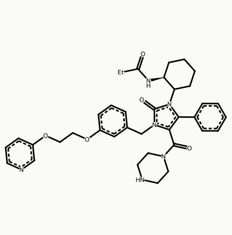 CCC(=O)N[C@H]1CCCCC1n1c(-c2ccccc2)c(C(=O)N2CCNCC2)n(Cc2cccc(OCCOc3cccnc3)c2)c1=O